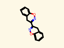 c1ccc2c(c1)CC(C1=NOc3ccccc3C1)=NO2